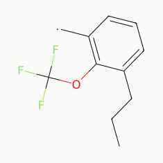 [CH2]c1cccc(CCC)c1OC(F)(F)F